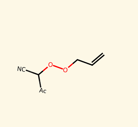 C=CCOOC(C#N)C(C)=O